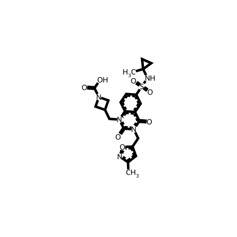 Cc1cc(Cn2c(=O)c3cc(S(=O)(=O)NC4(C)CC4)ccc3n(CC3CN(C(=O)O)C3)c2=O)on1